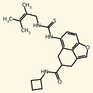 CC(C)=C(C)CNC(=S)Nc1ccc2occ3c2c1CC(C(=O)NC1CCC1)C3